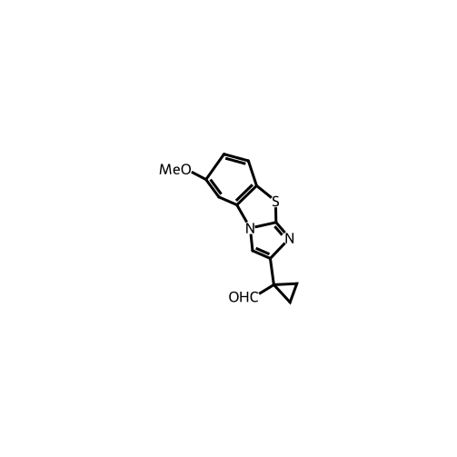 COc1ccc2sc3nc(C4(C=O)CC4)cn3c2c1